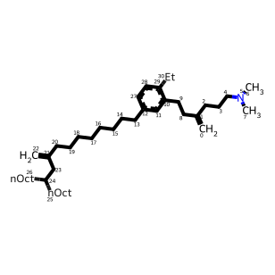 C=C(CCCN(C)C)CCc1cc(CCCCCCCCC(=C)CC(CCCCCCCC)CCCCCCCC)ccc1CC